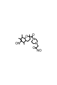 CC1=C(N=O)C(C)C2CCC(C)(C(=O)N3CCN(CC(=O)N=O)CC3)OC2C1C